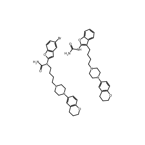 NC(=O)N(CCCCN1CCN(c2ccc3c(c2)CCCO3)CC1)c1cc2cc(Br)ccc2o1.NC(=O)Nc1oc2ccccc2c1CCCCN1CCN(c2ccc3c(c2)CCCO3)CC1